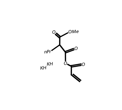 C=CC(=O)OC(=O)C(CCC)C(=O)OC.[KH].[KH]